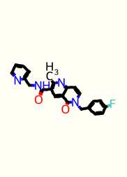 Cc1nc2ccn(Cc3ccc(F)cc3)c(=O)c2cc1C(=O)NCc1ccccn1